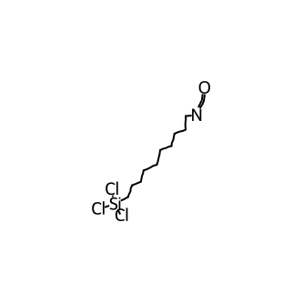 O=C=NCCCCCCCCCC[Si](Cl)(Cl)Cl